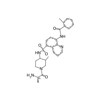 Cc1ccccc1C(=O)Nc1ccc(S(=O)(=O)NC2CCN(C(=O)[C@@H](C)N)CC2C)c2cccnc12